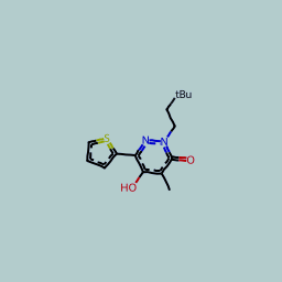 Cc1c(O)c(-c2cccs2)nn(CCC(C)(C)C)c1=O